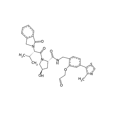 Cc1ncsc1-c1ccc(CNC(=O)[C@@H]2C[C@@H](O)CN2C(=O)[C@H](C(C)C)N2Cc3ccccc3C2=O)c(OCC=O)c1